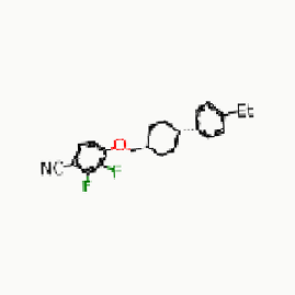 CCc1ccc([C@H]2CC[C@H](COc3ccc(C#N)c(F)c3F)CC2)cc1